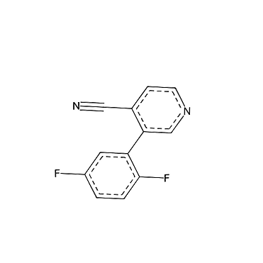 N#Cc1ccncc1-c1cc(F)ccc1F